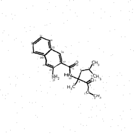 COC(=O)C(C)(CC(C)C)NC(=O)c1cc2ccccc2cc1N